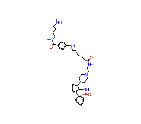 CNCCCCN(C)C(=O)c1ccc(NCCCCCC(=O)N(C)CCN2CCC(c3cccc(-c4ccccc4)c3NC(=O)O)CC2)cc1